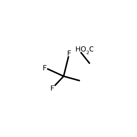 CC(=O)O.CC(F)(F)F